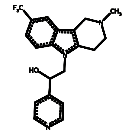 CN1CCc2c(c3cc(C(F)(F)F)ccc3n2CC(O)c2ccncc2)C1